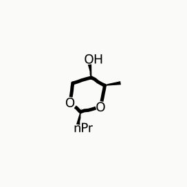 CCC[C@H]1OC[C@@H](O)[C@@H](C)O1